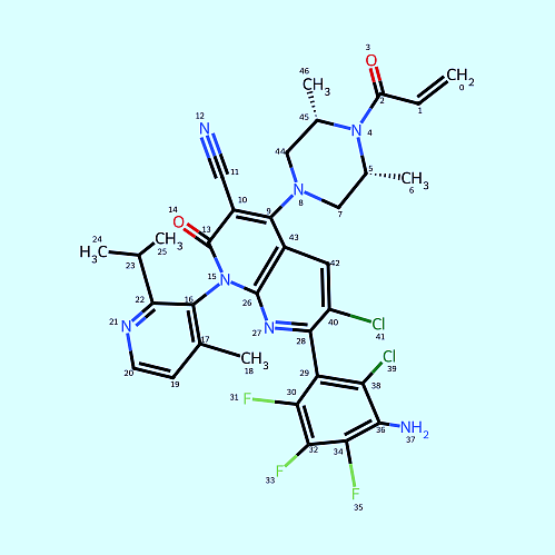 C=CC(=O)N1[C@H](C)CN(c2c(C#N)c(=O)n(-c3c(C)ccnc3C(C)C)c3nc(-c4c(F)c(F)c(F)c(N)c4Cl)c(Cl)cc23)C[C@@H]1C